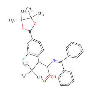 CC(C)(C)C(c1ccc(B2OC(C)(C)C(C)(C)O2)cc1F)C(N=C(c1ccccc1)c1ccccc1)C(=O)O